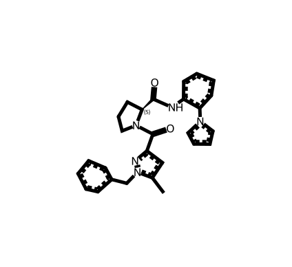 Cc1cc(C(=O)N2CCC[C@H]2C(=O)Nc2ccccc2-n2cccc2)nn1Cc1ccccc1